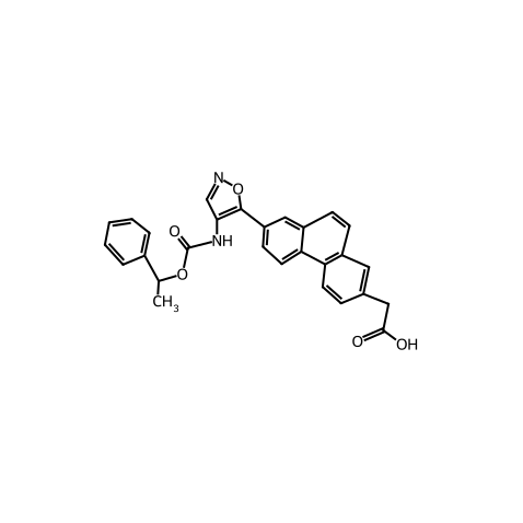 CC(OC(=O)Nc1cnoc1-c1ccc2c(ccc3cc(CC(=O)O)ccc32)c1)c1ccccc1